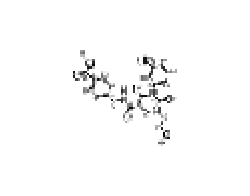 COCCn1cc(C(=O)NCc2ccc(C(=O)OC)cc2)c(=O)n(-c2cccc(Cl)c2)c1=O